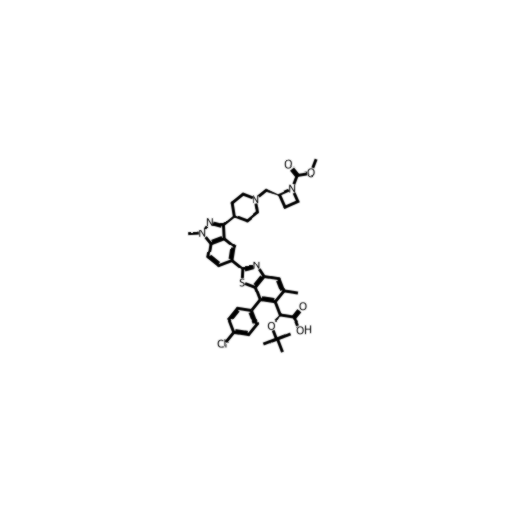 COC(=O)N1CC[C@H]1CN1CCC(c2nn(C)c3ccc(-c4nc5cc(C)c([C@H](OC(C)(C)C)C(=O)O)c(-c6ccc(Cl)cc6)c5s4)cc23)CC1